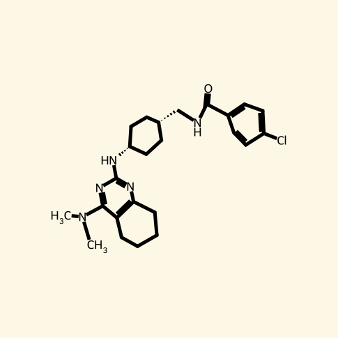 CN(C)c1nc(N[C@H]2CC[C@@H](CNC(=O)c3ccc(Cl)cc3)CC2)nc2c1CCCC2